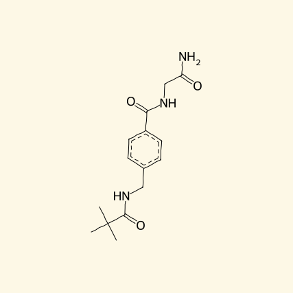 CC(C)(C)C(=O)NCc1ccc(C(=O)NCC(N)=O)cc1